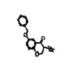 O=C1c2cc(OCc3ccccc3)ccc2OCC1Br